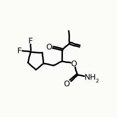 C=C(C)C(=O)C(CC1CCC(F)(F)C1)OC(N)=O